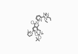 CCc1nnc(-c2cccc(N3Cc4c(cc(N5CCC[C@H]5C)nc4CN(C)C(=O)OC(C)(C)C)C3=O)n2)n1CC